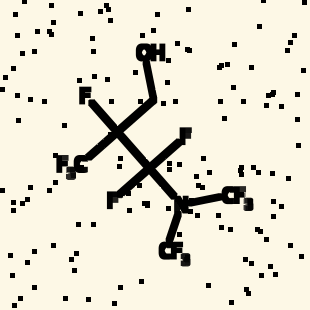 OCC(F)(C(F)(F)F)C(F)(F)N(C(F)(F)F)C(F)(F)F